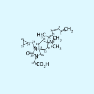 C=C/C=C\C=C(/C)[C@]1(N(C)C)CC[C@@]2(CC1)CN(CC(=O)O)C(=O)N2CC1CC1